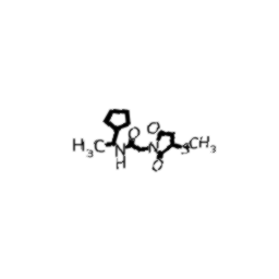 CSC1CC(=O)N(CC(=O)NC(C)C2CCCC2)C1=O